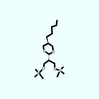 CCCCC[C@H]1CO[C@H](C(CO[Si](C)(C)C)CO[Si](C)(C)C)OC1